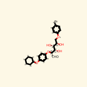 CC(C)c1ccc(OC[C@@H](O)[C@@H](O)[C@H](O)[C@H](C=O)Oc2ccc(OC3CCCCC3)cc2)cc1